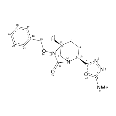 CNc1nnc([C@@H]2CC[C@@H]3CN2C(=O)N3OCc2ccccc2)o1